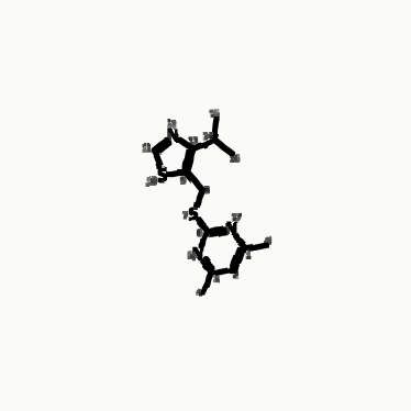 Cc1cc(C)nc(SCc2scnc2C(C)C)n1